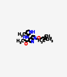 CCC(=O)c1cnc2c(ccn2COCC[Si](C)(C)C)c1N[C@H]1CNCC[C@H]1C